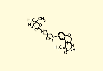 C[C@H]1C(=O)NN=C2COc3ccc(CCC4(C)CN(C(=O)OC(C)(C)C)C4)cc3N21